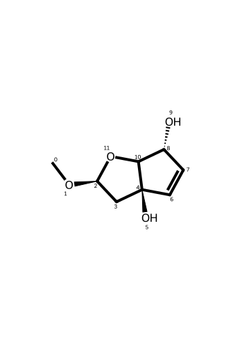 CO[C@@H]1C[C@@]2(O)C=C[C@@H](O)C2O1